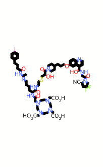 C/C(=N\CCCCC(NC(=O)CN1CCN(CC(=O)O)CCN(CC(=O)O)CCN(CC(=O)O)CC1)C(=O)NCCSC[C@@H](O)C(=O)N1CCC(CCCOc2ccc3nccc(C(O)NCC(=O)N4CC(F)(F)C[C@@H]4C#N)c3c2)CC1)NC(=O)CCCc1ccc(I)cc1